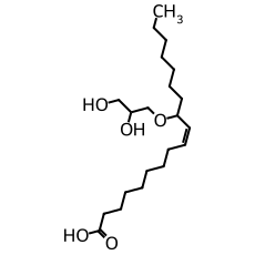 CCCCCCCC(/C=C\CCCCCCCC(=O)O)OCC(O)CO